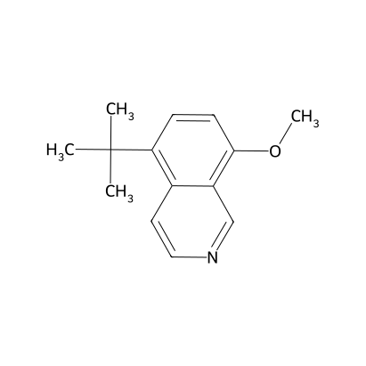 COc1ccc(C(C)(C)C)c2ccncc12